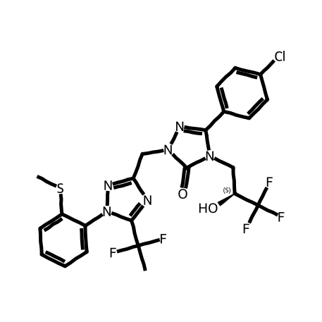 CSc1ccccc1-n1nc(Cn2nc(-c3ccc(Cl)cc3)n(C[C@H](O)C(F)(F)F)c2=O)nc1C(C)(F)F